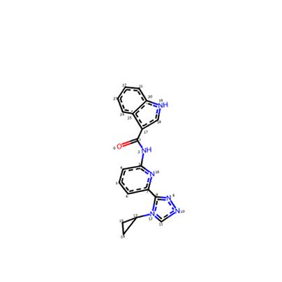 O=C(Nc1cccc(-c2nncn2C2CC2)n1)c1c[nH]c2ccccc12